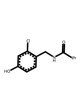 CC(C)C(=O)NCc1ccc(O)cc1Cl